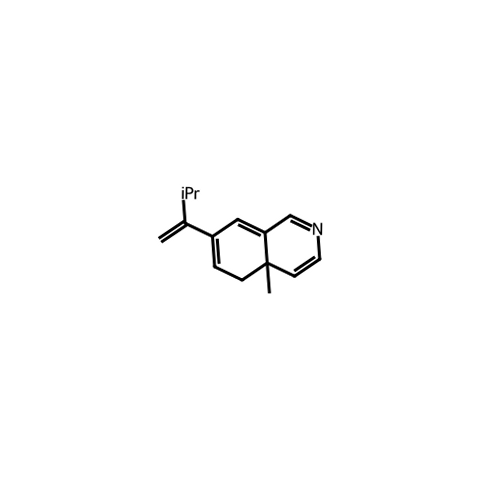 C=C(C1=CCC2(C)C=CN=CC2=C1)C(C)C